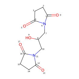 O=C1CCC(=O)N1CC(O)CN1C(=O)CCC1=O